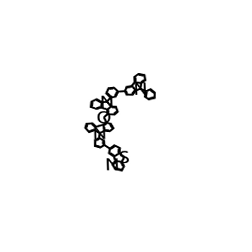 c1ccc(-n2c3ccccc3c3cc(-c4cccc(-n5c6ccccc6c6c(Oc7cccc8c7c7ccccc7n8-c7cccc(-c8ccc9sc%10cccnc%10c9c8)c7)cccc65)c4)ccc32)cc1